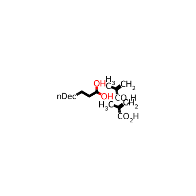 C=C(C)C(=O)O.C=C(C)C(=O)O.CCCCCCCCCCCCC(O)O